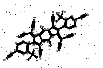 N#CC(C#N)=C1C(c2ccc(C#N)cc2C(F)(F)F)=C(C#N)c2c(F)c3c(c(F)c21)C(C#N)=C(c1ccc(C#N)cc1C(F)(F)F)C3=C(C#N)C#N